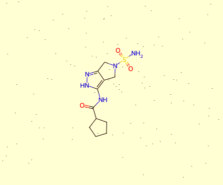 NS(=O)(=O)N1Cc2n[nH]c(NC(=O)C3CCCC3)c2C1